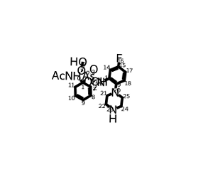 CC(=O)NC1([As](=O)(O)OO)C=CC=CC1.O=[N+]([O-])c1cc(F)ccc1N1CCNCC1